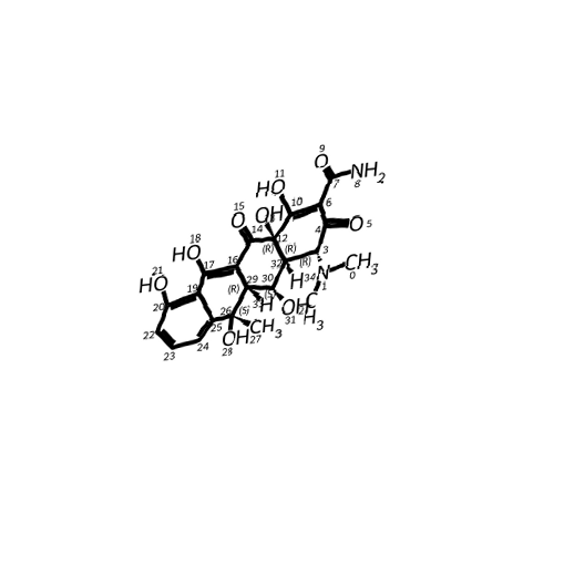 CN(C)[C@H]1C(=O)C(C(N)=O)=C(O)[C@@]2(O)C(=O)C3=C(O)c4c(O)cccc4[C@@](C)(O)[C@H]3[C@H](O)[C@@H]12